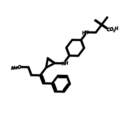 COCCC(=Cc1ccccc1)C1CC1NC1CCC(NCC(C)(C)C(=O)O)CC1